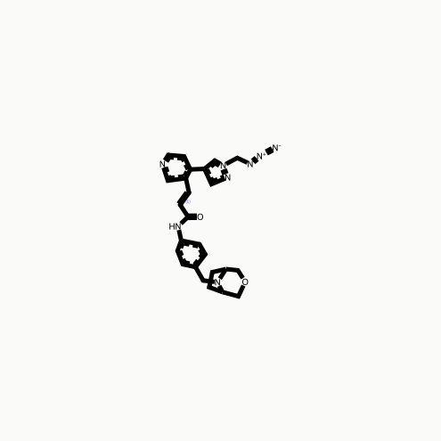 [N-]=[N+]=NCn1cc(-c2ccncc2/C=C/C(=O)Nc2ccc(CN3C4CCC3COC4)cc2)cn1